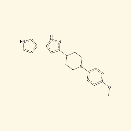 COc1ccc(N2CCC(c3cc(-c4cc[nH]c4)[nH]n3)CC2)cc1